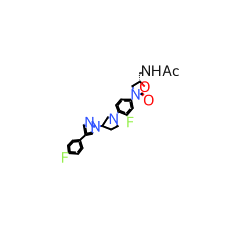 CC(=O)NC[C@H]1CN(c2ccc(N3CCC(n4cc(-c5ccc(F)cc5)cn4)C3)c(F)c2)C(=O)O1